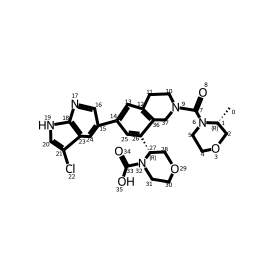 C[C@@H]1COCCN1C(=O)N1CCc2cc(-c3cnc4[nH]cc(Cl)c4c3)cc([C@@H]3COCCN3C(=O)O)c2C1